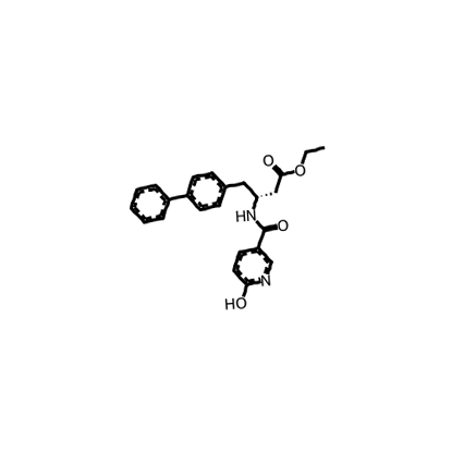 CCOC(=O)C[C@@H](Cc1ccc(-c2ccccc2)cc1)NC(=O)c1ccc(O)nc1